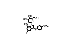 COc1ccc(Sc2cn([C@@H]3O[C@H](CO)[C@@H](O)[C@H](O)[C@H]3O)c3c(C)cc(F)cc23)cc1